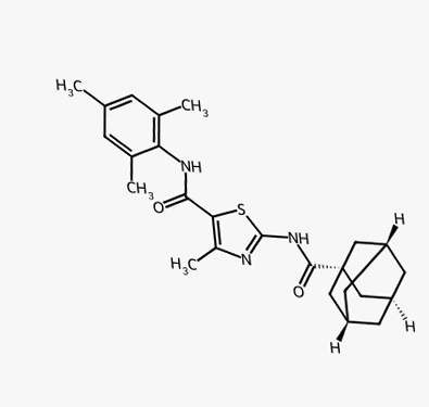 Cc1cc(C)c(NC(=O)c2sc(NC(=O)[C@]34C[C@H]5C[C@H](C[C@H](C5)C3)C4)nc2C)c(C)c1